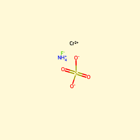 O=S(=O)([O-])[O-].[Cr+2].[F-].[NH4+]